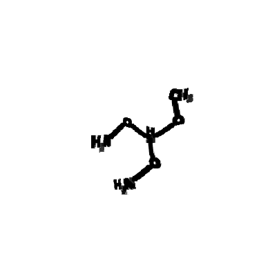 CO[SiH](ON)ON